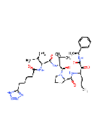 CCCC(NC(=O)C1CCCN1C(=O)[C@@H](NC(=O)[C@@H](NC(=O)CCCCc1nnn[nH]1)C(C)C)C(C)C)C(=O)C(=O)N[C@@H](C)c1ccccc1